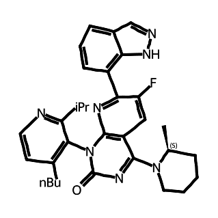 CCCCc1ccnc(C(C)C)c1-n1c(=O)nc(N2CCCC[C@@H]2C)c2cc(F)c(-c3cccc4cn[nH]c34)nc21